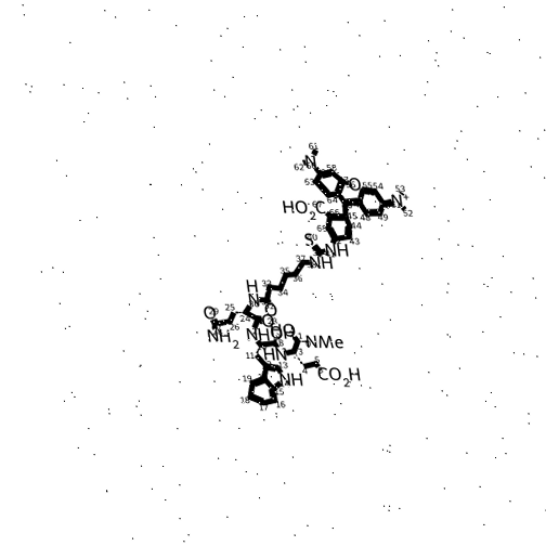 CN[C@@H](O)[C@H](CCC(=O)O)N[C@H](O)[C@H](Cc1c[nH]c2ccccc12)NC(=O)[C@H](CCC(N)=O)NC(=O)CCCCCNC(=S)Nc1ccc(-c2c3ccc(=[N+](C)C)cc-3oc3cc(N(C)C)ccc23)c(C(=O)O)c1